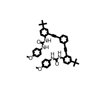 COc1ccc(NC(=O)Nc2ccc(C(C)(C)C)cc2C#Cc2cccc(C#Cc3cc(C(C)(C)C)ccc3NC(=O)Nc3ccc(OC)cc3)c2)cc1